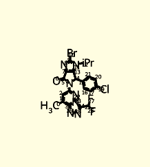 Cc1cc(N2C(=O)c3nc(Br)n(C(C)C)c3C2c2ccc(Cl)cc2)nn2c(C(F)F)nnc12